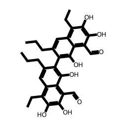 CCCc1cc2c(CC)c(O)c(O)c(C=O)c2c(O)c1-c1c(CCC)cc2c(CC)c(O)c(O)c(C=O)c2c1O